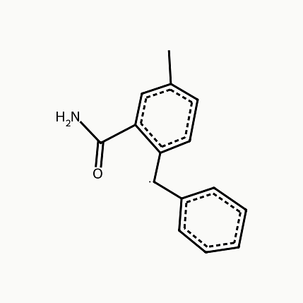 Cc1ccc([CH]c2ccccc2)c(C(N)=O)c1